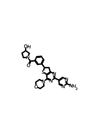 Nc1ncc(-c2nc3c(c(N4CCOCC4)n2)SC(c2cccc(C(=O)N4CCC(O)C4)c2)C3)cn1